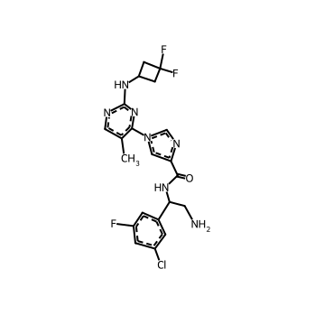 Cc1cnc(NC2CC(F)(F)C2)nc1-n1cnc(C(=O)NC(CN)c2cc(F)cc(Cl)c2)c1